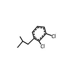 CC(C)Cc1cccc(Cl)c1Cl